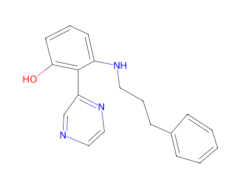 Oc1cccc(NCCCc2ccccc2)c1-c1cnccn1